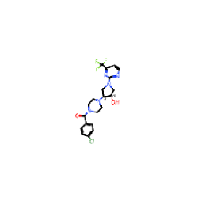 O=C(c1ccc(Cl)cc1)N1CCN([C@H]2CN(c3nccc(C(F)(F)F)n3)C[C@@H]2O)CC1